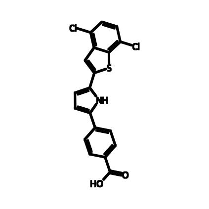 O=C(O)c1ccc(-c2ccc(-c3cc4c(Cl)ccc(Cl)c4s3)[nH]2)cc1